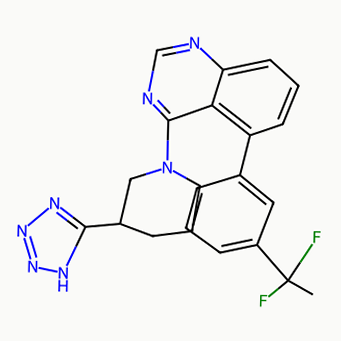 CC(F)(F)c1cccc(-c2cccc3ncnc(N4CCCC(c5nnn[nH]5)C4)c23)c1